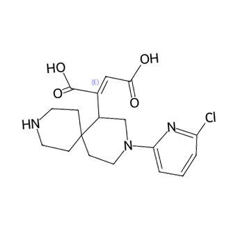 O=C(O)/C=C(/C(=O)O)C1CN(c2cccc(Cl)n2)CCC12CCNCC2